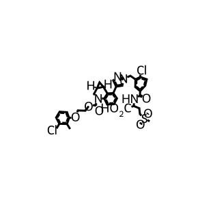 Cc1c(Cl)cccc1OCCOC(=O)N1C[C@@H]2C[C@@H]2c2c(-c3cnn(Cc4cc(C(=O)NC(CCS(C)(=O)=O)C(=O)O)ccc4Cl)c3)cccc21